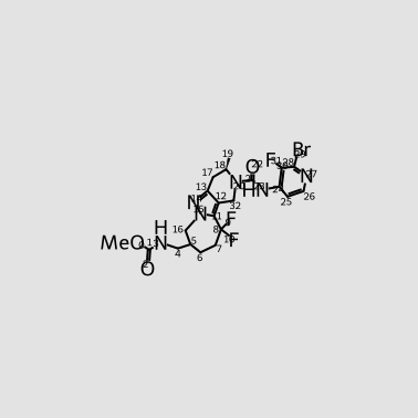 COC(=O)NCC1CCC(F)(F)c2c3c(nn2C1)C[C@@H](C)N(C(=O)Nc1ccnc(Br)c1F)C3